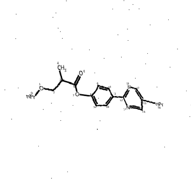 CCCOCC(C)C(=O)Oc1ccc(-c2ncc(CCC)cn2)cc1